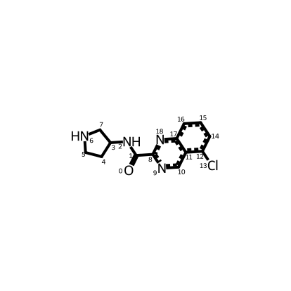 O=C(NC1CCNC1)c1ncc2c(Cl)cccc2n1